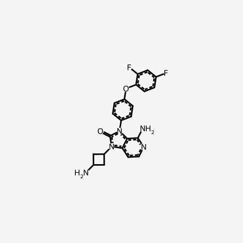 Nc1nccc2c1n(-c1ccc(Oc3ccc(F)cc3F)cc1)c(=O)n2C1CC(N)C1